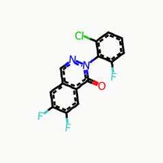 O=c1c2cc(F)c(F)cc2cnn1-c1c(F)cccc1Cl